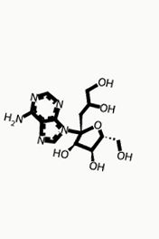 Nc1ncnc2c1ncn2[C@]1(CC(O)CO)O[C@H](CO)[C@@H](O)[C@H]1O